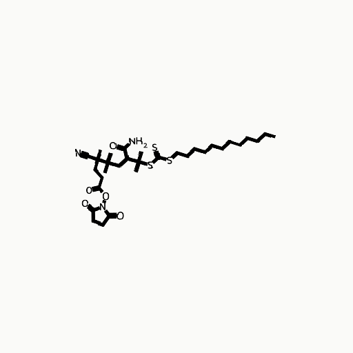 CCCCCCCCCCCCSC(=S)SC(C)(C)C(CC(C)(C)C(C)(C#N)CCC(=O)ON1C(=O)CCC1=O)C(N)=O